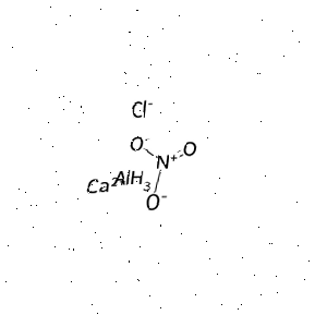 O=[N+]([O-])[O-].[AlH3].[Ca+2].[Cl-]